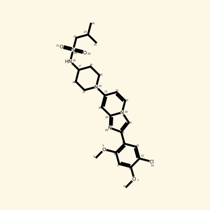 COc1cc(OC)c(-c2cn3ccc(N4CCC(NS(=O)(=O)CC(C)C)CC4)cc3n2)cc1Cl